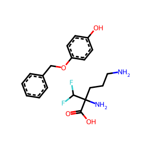 NCCCC(N)(C(=O)O)C(F)F.Oc1ccc(OCc2ccccc2)cc1